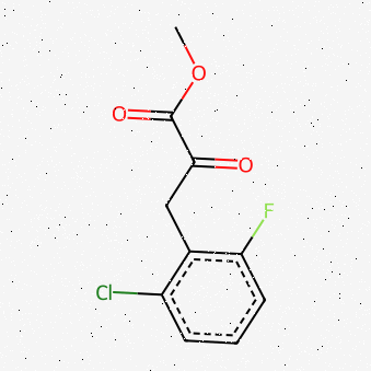 COC(=O)C(=O)Cc1c(F)cccc1Cl